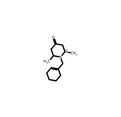 CC1CC(=O)C[C@@H](C)N1CC1=CCCCC1